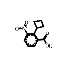 O=C(O)c1cccc([N+](=O)[O-])c1C1CCC1